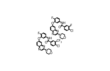 O=C(Nc1ccc(F)c(Oc2ccc3ncc(N4CCOCC4)nc3c2)c1)c1ccc(Cl)c(C(F)(F)F)c1.O=C(Nc1ccc(F)c(Oc2ccc3ncc(N4CCOCC4)nc3c2)c1)c1ccc(Cl)c(F)c1